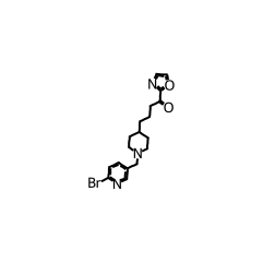 O=C(CCCC1CCN(Cc2ccc(Br)nc2)CC1)c1ncco1